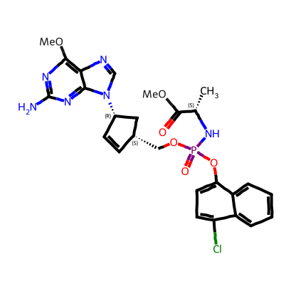 COC(=O)[C@H](C)NP(=O)(OC[C@@H]1C=C[C@H](n2cnc3c(OC)nc(N)nc32)C1)Oc1ccc(Cl)c2ccccc12